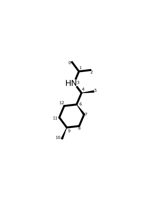 CC(C)N[C@@H](C)[C@H]1CC[C@@H](C)CC1